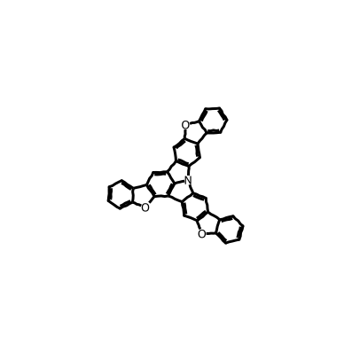 c1ccc2c(c1)oc1cc3c4cc5c6ccccc6oc5c5c6cc7oc8ccccc8c7cc6n(c3cc12)c45